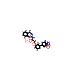 OC(COc1cccc(-c2ccc3ncoc3c2)c1)CN1CCc2ccccc2C1